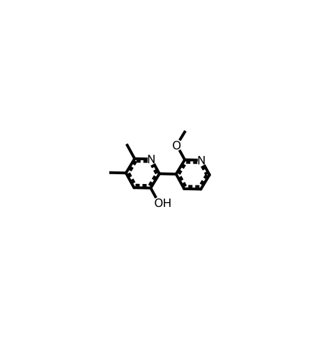 COc1ncccc1-c1nc(C)c(C)cc1O